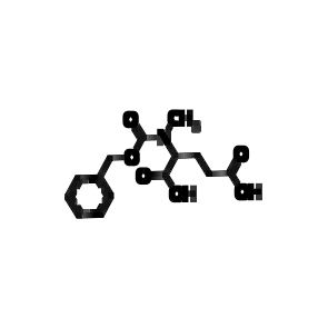 CN(C(=O)OCc1ccccc1)C(CCC(=O)O)C(=O)O